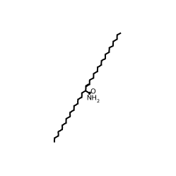 CCCCCCCCCCCCCCCC/C=C/C(CCCCCCCCCCCCCCCC)C(N)=O